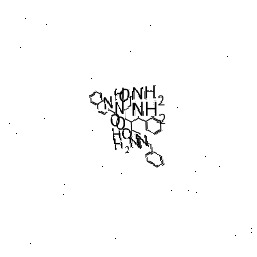 NC(=O)C[C@H](NC(=O)c1ccc2ccccc2n1)C(=O)C(C(O)CN(N)Cc1ccccc1)C(N)c1ccccc1